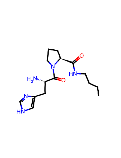 CCCCNC(=O)[C@@H]1CCCN1C(=O)[C@@H](N)Cc1c[nH]cn1